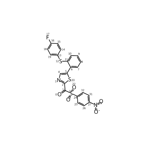 O=C(c1ncc(-c2ccccc2Sc2ccc(F)cc2)s1)S(=O)(=O)c1ccc([N+](=O)[O-])cc1